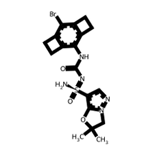 CC1(C)Cn2ncc([S@](N)(=O)=NC(=O)Nc3c4c(c(Br)c5c3CC5)CC4)c2O1